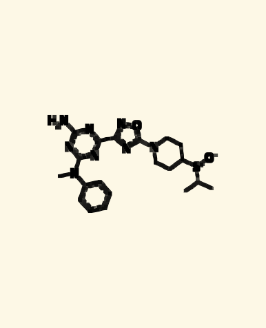 CC(C)[S+]([O-])C1CCN(c2nc(-c3nc(N)nc(N(C)c4ccccc4)n3)no2)CC1